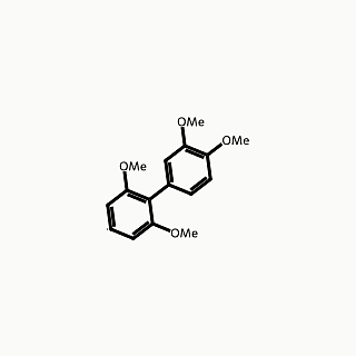 COc1ccc(-c2c(OC)c[c]cc2OC)cc1OC